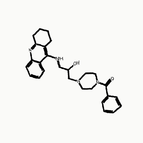 O=C(c1ccccc1)N1CCN(CC(O)CNc2c3c(nc4ccccc24)CCCC3)CC1